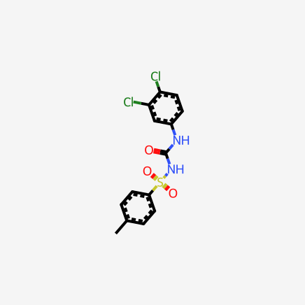 Cc1ccc(S(=O)(=O)NC(=O)Nc2ccc(Cl)c(Cl)c2)cc1